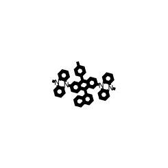 Cc1ccc(-c2c3cc(N4c5ccccc5N(C)c5ccccc54)ccc3c(-c3cccc4ccccc34)c3cc(N4c5ccccc5N(C)c5ccccc54)ccc23)cc1